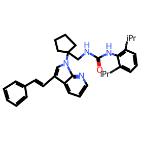 CC(C)c1cccc(C(C)C)c1NC(=O)NCC1(n2cc(C=Cc3ccccc3)c3cccnc32)CCCC1